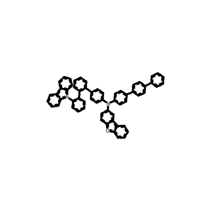 c1ccc(-c2ccc(-c3ccc(N(c4ccc(-c5ccccc5-c5ccccc5-n5c6ccccc6c6ccccc65)cc4)c4ccc5oc6ccccc6c5c4)cc3)cc2)cc1